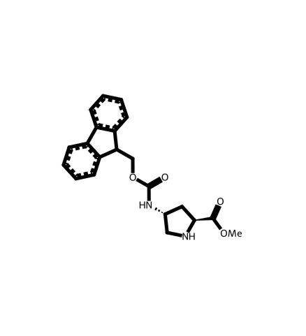 COC(=O)[C@@H]1C[C@@H](NC(=O)OCC2c3ccccc3-c3ccccc32)CN1